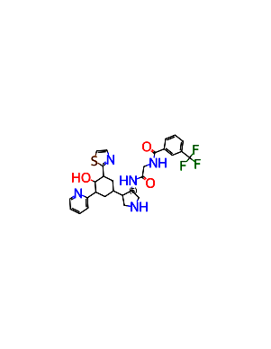 O=C(CNC(=O)c1cccc(C(F)(F)F)c1)N[C@@H]1CNCC1C1CC(c2ccccn2)C(O)C(c2nccs2)C1